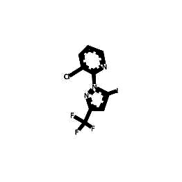 FC(F)(F)c1cc(I)n(-c2ncccc2Cl)n1